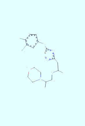 CC(Cc1nsc(Nc2ccc(F)c(Cl)c2)n1)NCC(C)N1CCOCC1